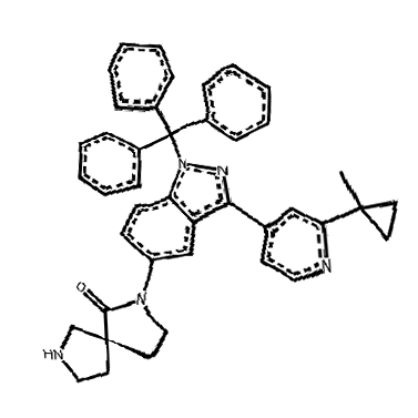 CC1(c2cc(-c3nn(C(c4ccccc4)(c4ccccc4)c4ccccc4)c4ccc(N5CC[C@]6(CCNC6)C5=O)cc34)ccn2)CC1